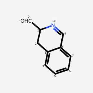 O=[C]C1Cc2ccccc2C=N1